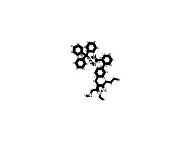 CCCCc1nn(CC)c(COC)c1Cc1ccc(-c2ccccc2-c2nnn(C(c3ccccc3)(c3ccccc3)c3ccccc3)n2)cc1